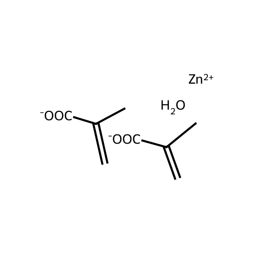 C=C(C)C(=O)[O-].C=C(C)C(=O)[O-].O.[Zn+2]